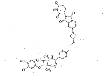 CC1(C)[C@H](NC(=O)c2ccc(CCCC3CN(c4ccc5c(c4)C(=O)N(C4CCC(=O)NC4=O)C5=O)C3)cc2)C(C)(C)[C@H]1Oc1ccc(C#N)c(Cl)c1